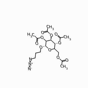 CC(=O)OCC1O[C@H](OCCCN=[N+]=[N-])C(OC(C)=O)[C@@H](OC(C)=O)[C@@H]1OC(C)=O